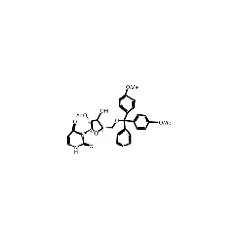 COc1ccc(C(OC[C@H]2O[C@@H](n3c(=O)cc[nH]c3=O)[C@H](OC(C)=O)C2O)(c2ccccc2)c2ccc(OC)cc2)cc1